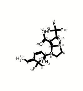 C=C(/C=C\C(=C/C)C(F)(F)F)N1CCn2nc(C(F)(F)F)c(C(=O)O)c21